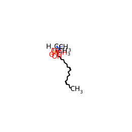 CCC/C=C\CCCC/C=C\CCCCCCCC(O)(C[N+](C)(C)C)P(=O)(O)O